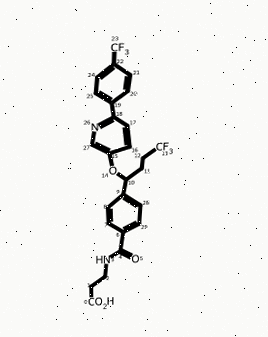 O=C(O)CCNC(=O)c1ccc(C(CCC(F)(F)F)Oc2ccc(-c3ccc(C(F)(F)F)cc3)nc2)cc1